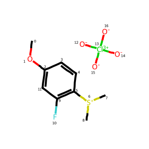 COc1ccc([S+](C)C)c(F)c1.[O-][Cl+3]([O-])([O-])[O-]